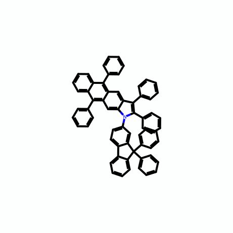 c1ccc(-c2c3ccccc3c(-c3ccccc3)c3cc4c(cc23)c(-c2ccccc2)c(-c2ccccc2)n4-c2ccc3c(c2)C(c2ccccc2)(c2ccccc2)c2ccccc2-3)cc1